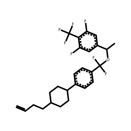 C=CCCC1CCC(c2ccc(C(F)(F)OC(C)c3cc(F)c(C(F)(F)F)c(F)c3)cc2)CC1